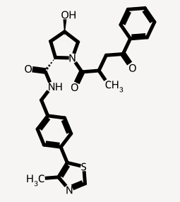 Cc1ncsc1-c1ccc(CNC(=O)[C@@H]2C[C@@H](O)CN2C(=O)C(C)CC(=O)c2ccccc2)cc1